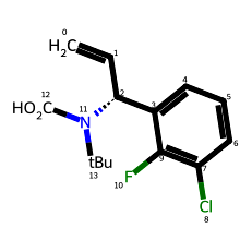 C=C[C@H](c1cccc(Cl)c1F)N(C(=O)O)C(C)(C)C